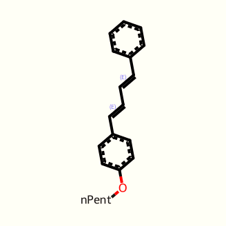 CCCCCOc1ccc(/C=C/C=C/c2ccccc2)cc1